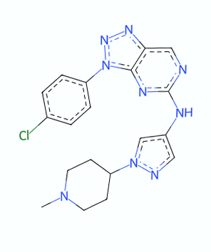 CN1CCC(n2cc(Nc3ncc4nnn(-c5ccc(Cl)cc5)c4n3)cn2)CC1